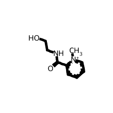 C[n+]1ccccc1C(=O)NCCO